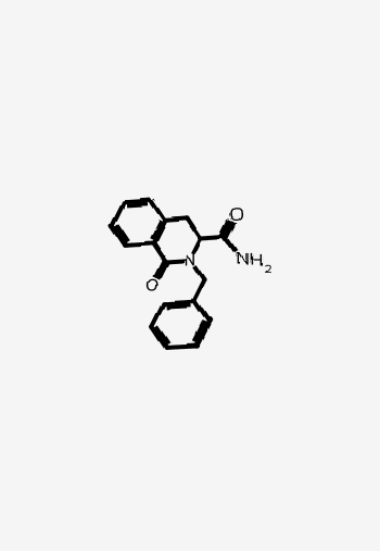 NC(=O)C1Cc2[c]cccc2C(=O)N1Cc1ccccc1